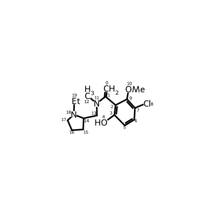 C=C(c1c(O)ccc(Cl)c1OC)N(C)CC1CCCN1CC